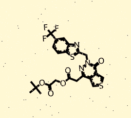 CC(C)(C)OC(=O)COC(=O)Cc1nn(Cc2nc3cc(C(F)(F)F)ccc3s2)c(=O)c2cscc12